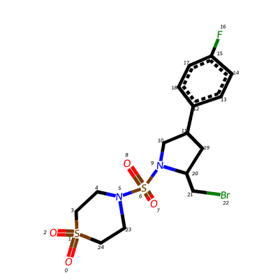 O=S1(=O)CCN(S(=O)(=O)N2CC(c3ccc(F)cc3)CC2CBr)CC1